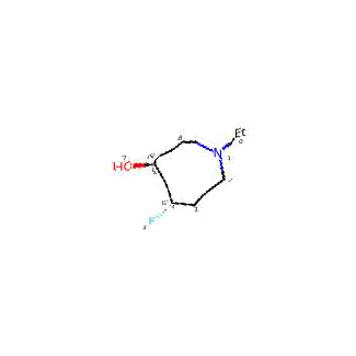 CCN1CC[C@H](F)[C@@H](O)C1